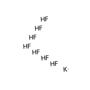 F.F.F.F.F.F.F.[K]